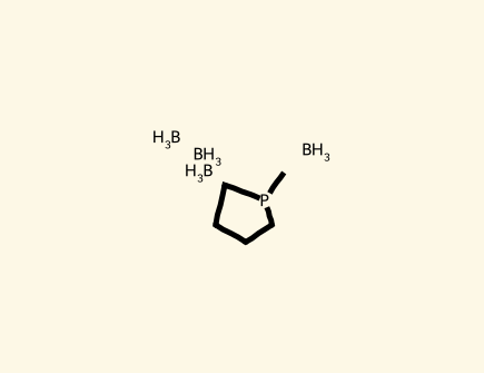 B.B.B.B.CP1CCCC1